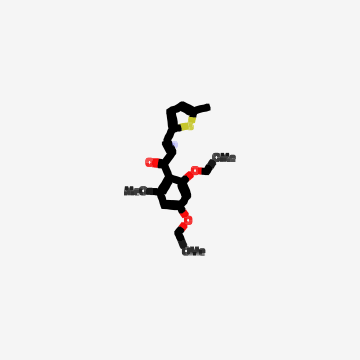 COCOc1cc(OC)c(C(=O)/C=C/c2ccc(C)s2)c(OCOC)c1